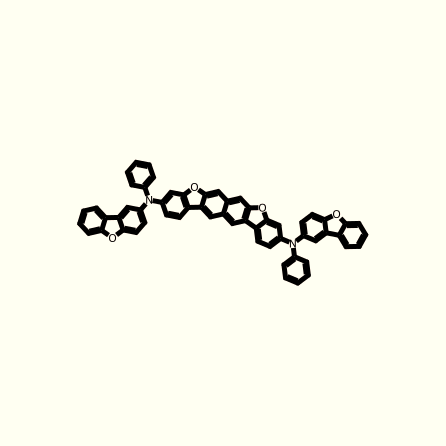 c1ccc(N(c2ccc3c(c2)oc2cc4cc5oc6cc(N(c7ccccc7)c7ccc8oc9ccccc9c8c7)ccc6c5cc4cc23)c2ccc3oc4ccccc4c3c2)cc1